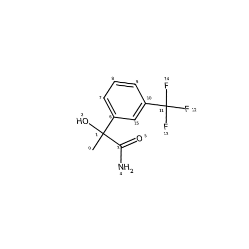 CC(O)(C(N)=O)c1cccc(C(F)(F)F)c1